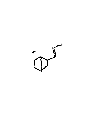 Cl.ON=CC1CN2CCC1CC2